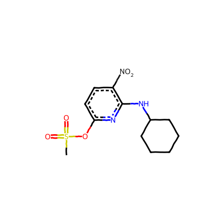 CS(=O)(=O)Oc1ccc([N+](=O)[O-])c(NC2CCCCC2)n1